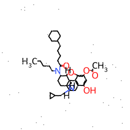 CCCCCN(C(=O)CCCCC1CCCCC1)[C@H]1CC[C@H]2[C@H]3Cc4c(O)cc(OC(C)=O)c5c4[C@@]2(CCN3CC2CC2)[C@H]1O5